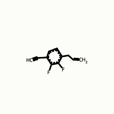 C#Cc1ccc(CC=C)c(F)c1F